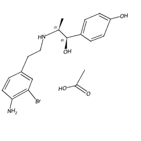 CC(=O)O.C[C@H](NCCc1ccc(N)c(Br)c1)[C@H](O)c1ccc(O)cc1